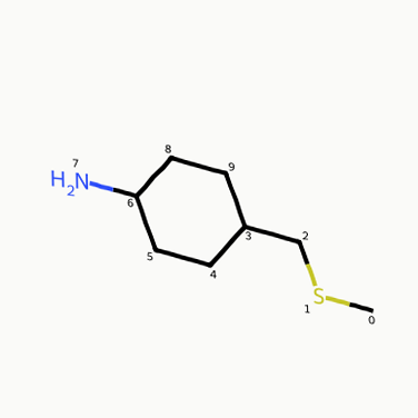 CSCC1CCC(N)CC1